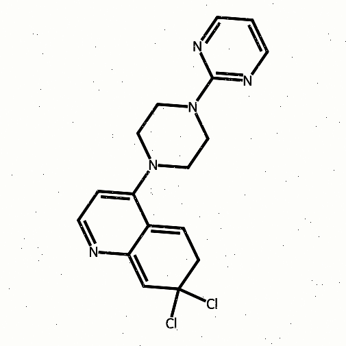 ClC1(Cl)C=c2nccc(N3CCN(c4ncccn4)CC3)c2=CC1